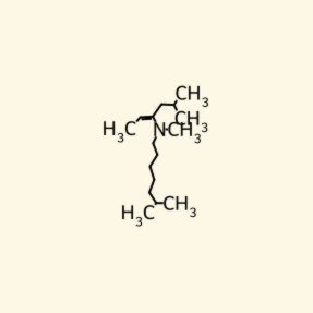 C/C=C(/CC(C)C)N(C)CCCCCC(C)C